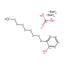 CCCCCCCCCc1ccccc1O.O=C(O)O.[BaH2].[BaH2]